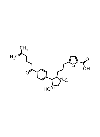 C=C(C)CCCC(=O)c1ccc(C2C(CCCc3ccc(C(=O)O)s3)[C@H](Cl)C[C@H]2O)cc1